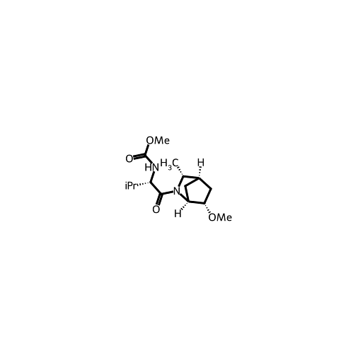 COC(=O)N[C@H](C(=O)N1[C@H](C)[C@H]2C[C@H](OC)[C@@H]1C2)C(C)C